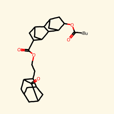 CCC(C)C(=O)OC1CC2CC1C1C3CC(CC3C(=O)OCCC3C4CC5CC(C4)C(=O)C3C5)C21